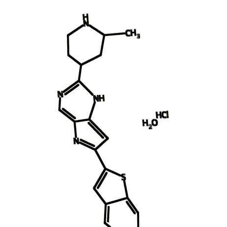 CC1CC(c2ncc3nc(-c4cc5ccccc5s4)cc-3[nH]2)CCN1.Cl.O